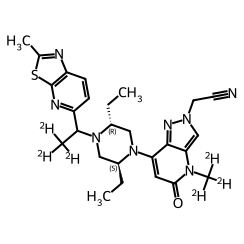 [2H]C([2H])([2H])C(c1ccc2nc(C)sc2n1)N1C[C@H](CC)N(c2cc(=O)n(C([2H])([2H])[2H])c3cn(CC#N)nc23)C[C@H]1CC